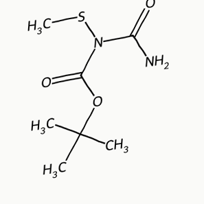 CSN(C(N)=O)C(=O)OC(C)(C)C